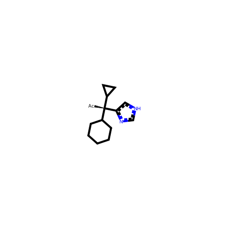 CC(=O)[C@@](c1c[nH]cn1)(C1CCCCC1)C1CC1